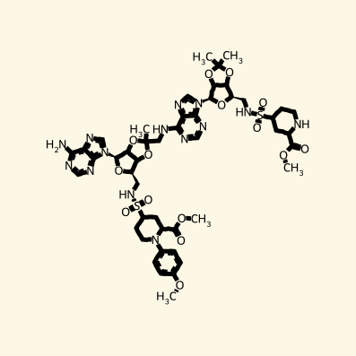 COC(=O)C1CC(S(=O)(=O)NC[C@H]2O[C@@H](n3cnc4c(NCC5(C)OC6C(O5)[C@@H](CNS(=O)(=O)C5CCN(c7ccc(OC)cc7)C(C(=O)OC)C5)O[C@H]6n5cnc6c(N)ncnc65)ncnc43)C3OC(C)(C)OC32)CCN1